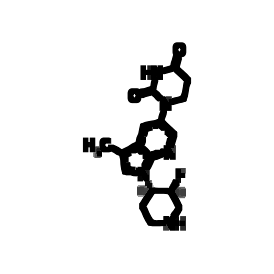 Cc1cn([C@H]2CCNC[C@@H]2F)c2ncc(N3CCC(=O)NC3=O)cc12